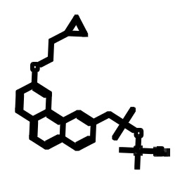 CC(C)(Cc1ccc2ccc3ccc(OCCC4CC4)cc3c2c1)O[Si](C)(C)C(C)(C)C